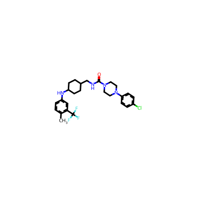 Cc1ccc(NC2CCC(CNC(=O)N3CCN(c4ccc(Cl)cc4)CC3)CC2)cc1C(F)(F)F